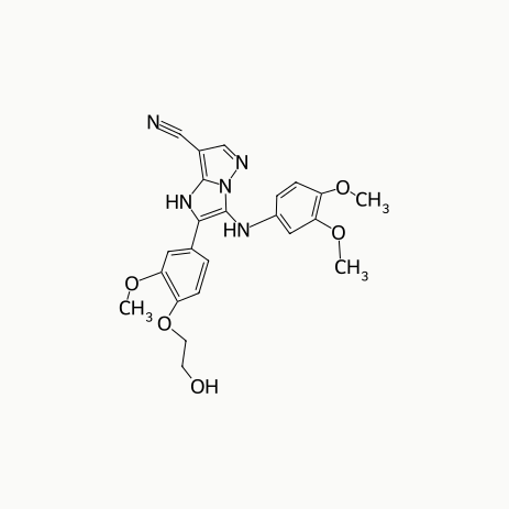 COc1ccc(Nc2c(-c3ccc(OCCO)c(OC)c3)[nH]c3c(C#N)cnn23)cc1OC